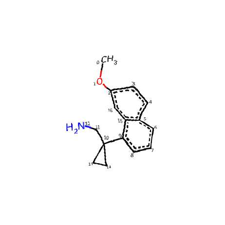 COc1ccc2cccc(C3(CN)CC3)c2c1